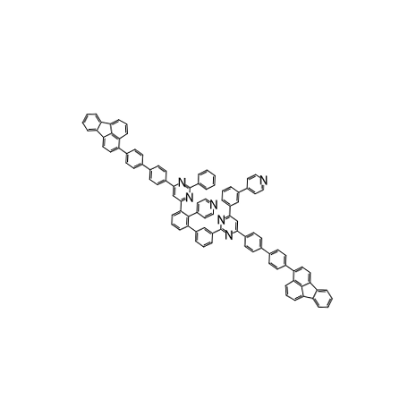 c1ccc(-c2nc(-c3ccc(-c4ccc(-c5ccc6c7c(cccc57)-c5ccccc5-6)cc4)cc3)cc(-c3cccc(-c4cccc(-c5nc(-c6ccc(-c7ccc(-c8ccc9c%10c(cccc8%10)-c8ccccc8-9)cc7)cc6)cc(-c6cccc(-c7ccncc7)c6)n5)c4)c3-c3ccncc3)n2)cc1